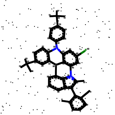 Cc1cccc(C)c1-c1c(C)n2c3c(cccc13)B1c3cc(C(C)(C)C)ccc3N(c3ccc(C(C)(C)C)cc3)c3cc(F)cc-2c31